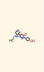 C#CCNc1ccnc2sc3c(=O)n(-c4ccc(O)cc4)ncc3c12